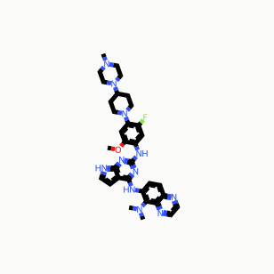 COc1cc(N2CCC(N3CCN(C)CC3)CC2)c(F)cc1Nc1nc(Nc2ccc3nccnc3c2N(C)C)c2cc[nH]c2n1